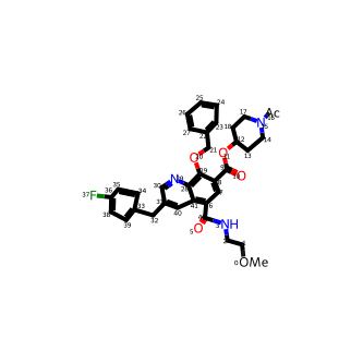 COCCNC(=O)c1cc(C(=O)OC2CCN(C(C)=O)CC2)c(OCc2ccccc2)c2ncc(Cc3ccc(F)cc3)cc12